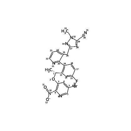 C[C@@H](Oc1cc(Br)cnc1[N+](=O)[O-])c1cc(F)ccc1-c1ncccc1Cc1cc(C#N)n(C)n1